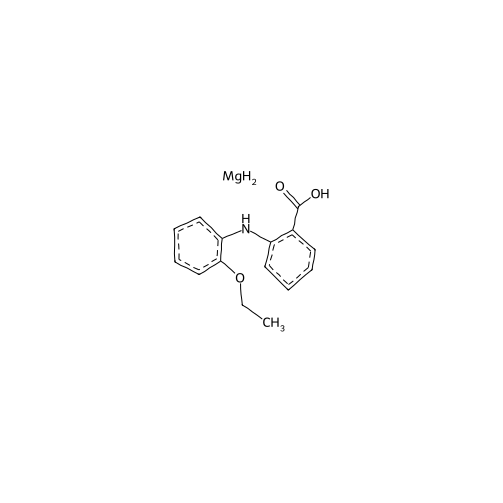 CCOc1ccccc1Nc1ccccc1C(=O)O.[MgH2]